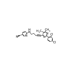 Cc1nc(-c2ccc(Cl)cc2Cl)nc(NCCCCNc2ccc(C#N)cn2)c1C